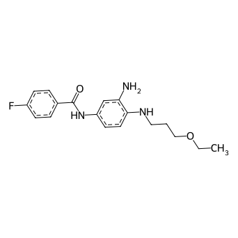 CCOCCCNc1ccc(NC(=O)c2ccc(F)cc2)cc1N